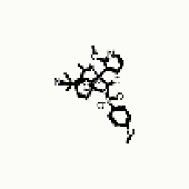 COc1ccc(S(=O)(=O)N2C(=O)[C@](c3cccnc3OC)(N(C)C(C)C(=O)N(C)C)c3cc(C#N)ccc32)cc1